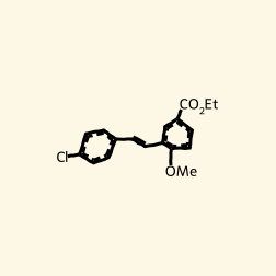 CCOC(=O)c1ccc(OC)c(C=Cc2ccc(Cl)cc2)c1